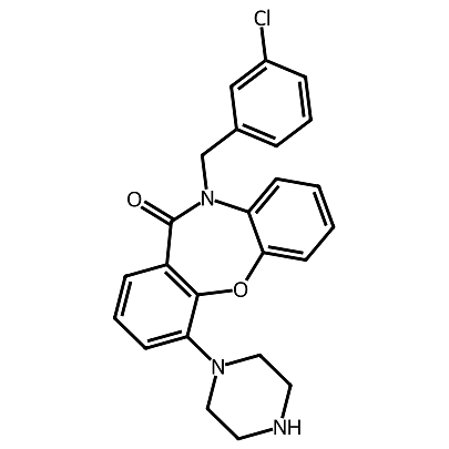 O=C1c2cccc(N3CCNCC3)c2Oc2ccccc2N1Cc1cccc(Cl)c1